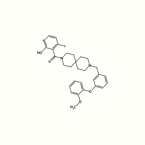 COc1ccccc1Oc1cccc(CN2CCC3(CC2)CCN(C(=O)c2c(I)ccnc2O)CC3)c1